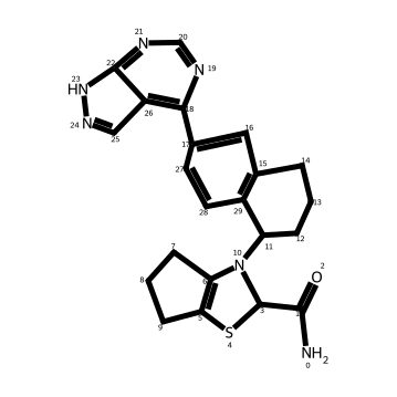 NC(=O)C1SC2=C(CCC2)N1C1CCCc2cc(-c3ncnc4[nH]ncc34)ccc21